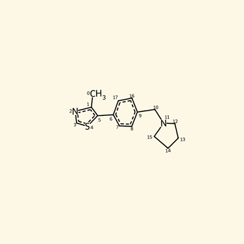 Cc1ncsc1-c1ccc(CN2CCCC2)cc1